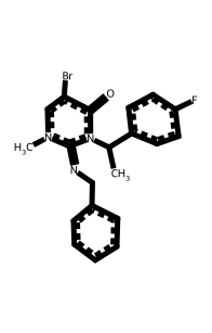 CC(c1ccc(F)cc1)n1c(=O)c(Br)cn(C)/c1=N/Cc1ccccc1